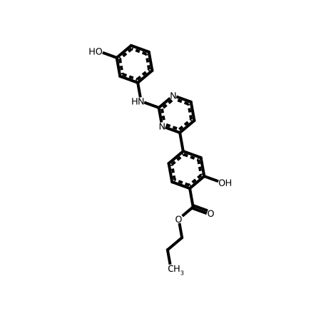 CCCOC(=O)c1ccc(-c2ccnc(Nc3cccc(O)c3)n2)cc1O